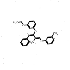 CCOc1cccc(OC(=Nc2ccccc2)C(C)=COc2cccc(C)c2)c1